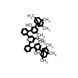 COc1cc(-c2ccccc2-c2cc(C)cc(C34CC5(C)CC(C)(CC(C)(C5)C3)C4)c2O)nc(-c2ccccc2-c2cc(C)cc(C34CC5(C)CC(C)(CC(C)(C5)C3)C4)c2O)c1